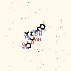 CC(C)C[C@H](NC(=O)c1cc2cc(F)cc(F)c2[nH]1)C(=O)N[C@@H](C[C@@H]1CCCNC1=O)C(=O)CO